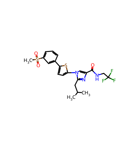 CC(C)Cc1nc(C(=O)NCC(F)(F)F)cn1-c1ccc(-c2cccc(S(C)(=O)=O)c2)s1